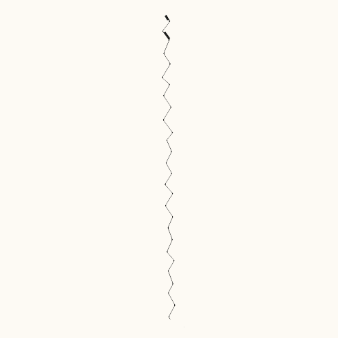 [CH]=CC=CCCCCCCCCCCCCCCCCCCCCCCCCCC